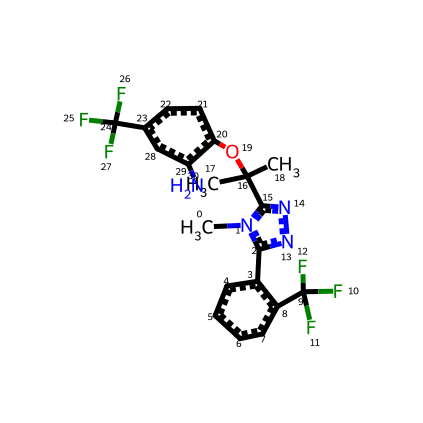 Cn1c(-c2ccccc2C(F)(F)F)nnc1C(C)(C)Oc1ccc(C(F)(F)F)cc1N